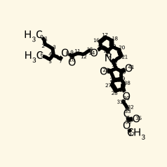 CCCCC(CC)COC(=O)CCCOc1cccc2ccc(C3C(=O)c4ccc(OCCCC(=O)OC)cc4C3=O)nc12